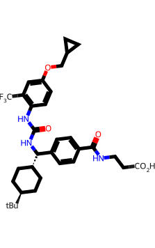 CC(C)(C)[C@H]1CC[C@H](C(NC(=O)Nc2ccc(OCC3CC3)cc2C(F)(F)F)c2ccc(C(=O)NCCC(=O)O)cc2)CC1